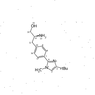 Cn1cc(C(C)(C)C)nc1-c1ccc(C[C@H](N)CO)cc1